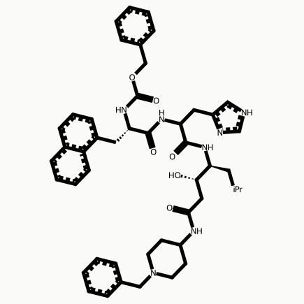 CC(C)C[C@H](NC(=O)C(Cc1c[nH]cn1)NC(=O)[C@H](Cc1cccc2ccccc12)NC(=O)OCc1ccccc1)[C@@H](O)CC(=O)NC1CCN(Cc2ccccc2)CC1